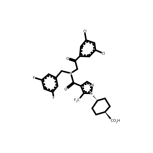 O=C(CN(Cc1cc(F)cc(F)c1)C(=O)c1cnn([C@H]2CC[C@H](C(=O)O)CC2)c1C(F)(F)F)c1cc(Cl)cc(Cl)c1